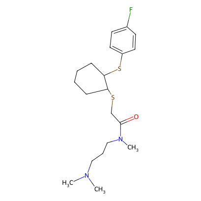 CN(C)CCCN(C)C(=O)CSC1CCCCC1Sc1ccc(F)cc1